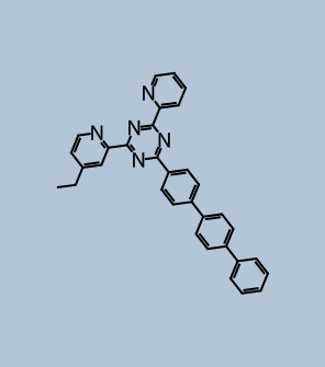 CCc1ccnc(-c2nc(-c3ccc(-c4ccc(-c5ccccc5)cc4)cc3)nc(-c3ccccn3)n2)c1